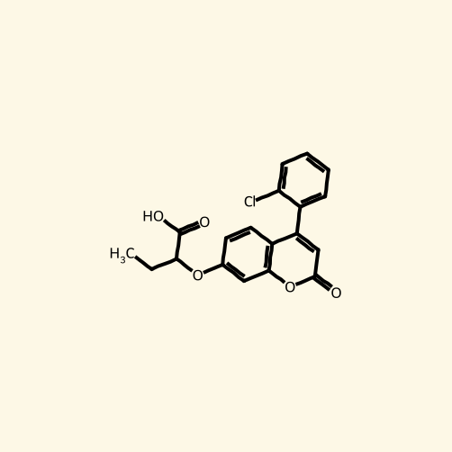 CCC(Oc1ccc2c(-c3ccccc3Cl)cc(=O)oc2c1)C(=O)O